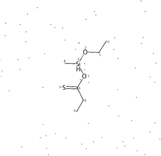 CCO[SiH](C)OC(=S)CC